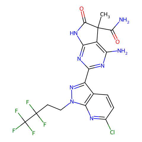 CC1(C(N)=O)C(=O)Nc2nc(-c3nn(CCC(F)(F)C(F)(F)F)c4nc(Cl)ccc34)nc(N)c21